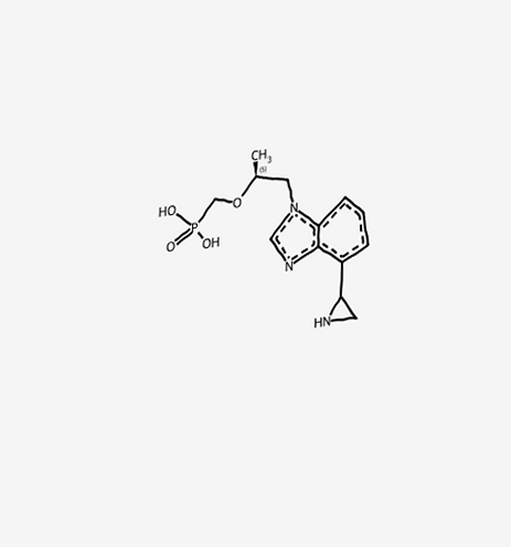 C[C@@H](Cn1cnc2c(C3CN3)cccc21)OCP(=O)(O)O